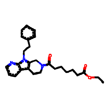 CCOC(=O)CCCCCC(=O)N1CCc2c(n(CCc3ccccc3)c3ncccc23)C1